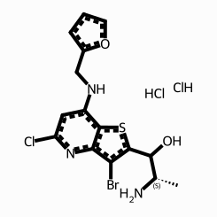 C[C@H](N)C(O)c1sc2c(NCc3ccco3)cc(Cl)nc2c1Br.Cl.Cl